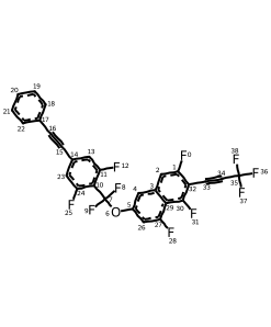 Fc1cc2cc(OC(F)(F)c3c(F)cc(C#Cc4ccccc4)cc3F)cc(F)c2c(F)c1C#CC(F)(F)F